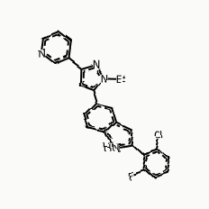 CCn1nc(-c2cccnc2)cc1-c1ccc2[nH]c(-c3c(F)cccc3Cl)cc2c1